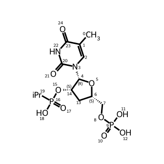 Cc1cn([C@@H]2O[C@H](COP(=O)(O)O)C[C@@H]2OP(=O)(O)C(C)C)c(=O)[nH]c1=O